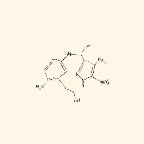 CC(C)C(Nc1ccc(N)c(CCO)c1)c1n[nH]c(N)c1N